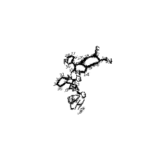 COC(=O)N1CC2(C1)C(=O)N(Cc1ncc3cc(C#N)c(F)cc3c1-c1cccnc1)c1ccccc12